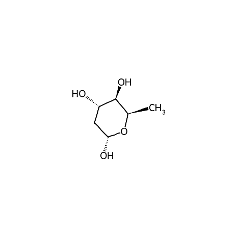 C[C@H]1O[C@H](O)C[C@H](O)[C@H]1O